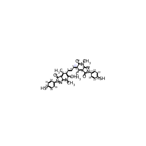 Cc1c(C=C/C=c2\c(C)c3c(n(C)c2=O)=NN(c2ccc(S)cc2)C3=O)c(O)n(C)c2nn(-c3ccc(S)cc3)c(=O)c1-2